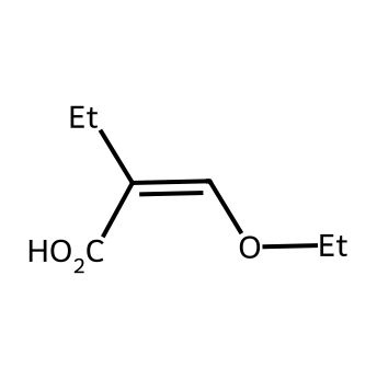 CCOC=C(CC)C(=O)O